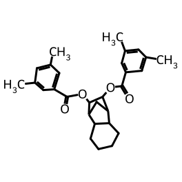 Cc1cc(C)cc(C(=O)OC2C3CC(C4CCCCC43)C2OC(=O)c2cc(C)cc(C)c2)c1